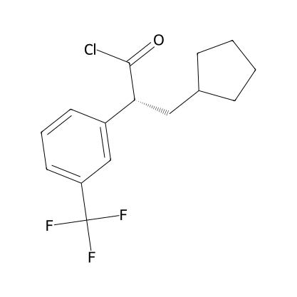 O=C(Cl)[C@H](CC1CCCC1)c1cccc(C(F)(F)F)c1